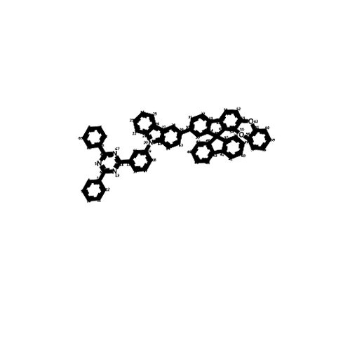 c1ccc(-c2nc(-c3ccccc3)nc(-c3cccc(-n4c5ccccc5c5cc(-c6ccc7c(c6)C6(c8ccccc8-c8ccccc86)c6c-7ccc7c6Oc6ccccc6O7)ccc54)c3)n2)cc1